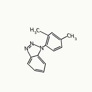 Cc1ccc(-n2nnc3ccccc32)c(C)c1